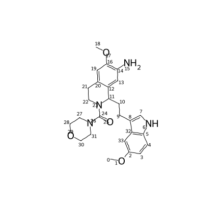 COc1ccc2[nH]cc(CCC3c4cc(N)c(OC)cc4CCN3C(=O)N3CCOCC3)c2c1